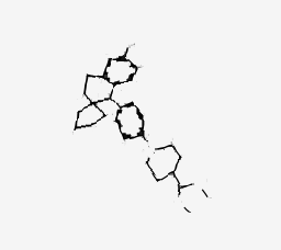 COC(OC)C1CCN(c2ccc(C3c4ccc(O)cc4CCC34CCCC4)cc2)CC1